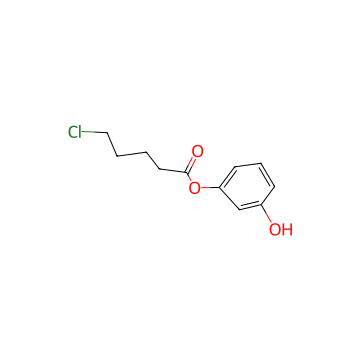 O=C(CCCCCl)Oc1cccc(O)c1